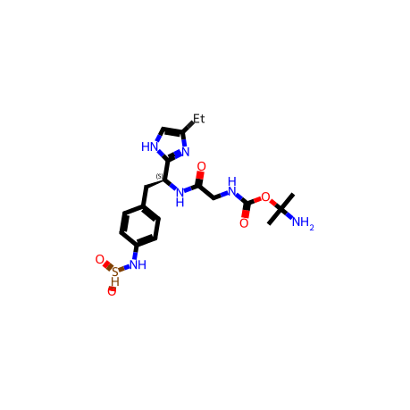 CCc1c[nH]c([C@H](Cc2ccc(N[SH](=O)=O)cc2)NC(=O)CNC(=O)OC(C)(C)N)n1